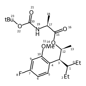 CCC(CC)[C@@H](c1ccc(F)cc1OC)[C@H](C)OC(=O)[C@H](C)NC(=O)OC(C)(C)C